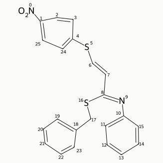 O=[N+]([O-])c1ccc(SC=CC(=Nc2ccccc2)SCc2ccccc2)cc1